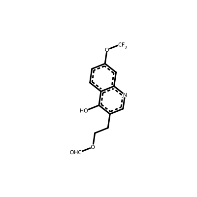 O=COCCc1cnc2cc(OC(F)(F)F)ccc2c1O